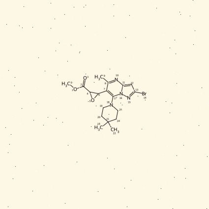 COC(=O)C1OC1c1c(C)nc2cc(Br)nn2c1N1CCC(C)(C)CC1